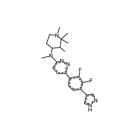 CC1C(N(C)c2ccc(-c3ccc(-c4cn[nH]c4)c(F)c3F)nn2)CCN(C)C1(C)C